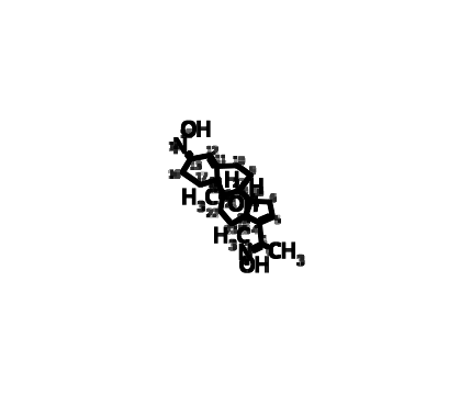 CC(=NO)C1=CC[C@H]2[C@@H]3CCC4=CC(=NO)CC[C@]4(C)[C@@]3(O)CC[C@]12C